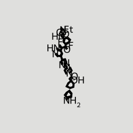 CCN(C)S(=O)(=O)Nc1ccc(F)c(C(=O)c2c[nH]c3ncc(-c4cnc(N5CCN(C(=O)C[C@]6(O)CC[C@@H](c7ccc(N)cc7)CC6)CC5)nc4)cc23)c1F